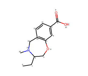 CCC1COc2cc(C(=O)O)ccc2CN1C